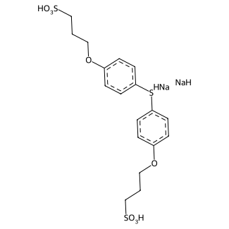 O=S(=O)(O)CCCOc1ccc(Sc2ccc(OCCCS(=O)(=O)O)cc2)cc1.[NaH].[NaH]